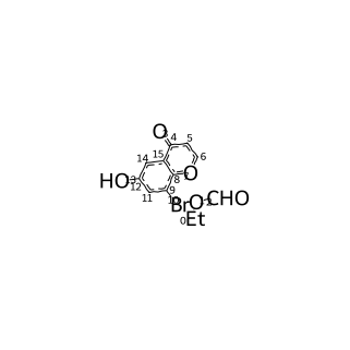 CCOC=O.O=c1ccoc2c(Br)cc(O)cc12